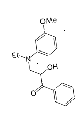 CCN(CC(O)C(=O)c1ccccc1)c1cccc(OC)c1